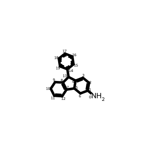 NC1=CC=C2C(C1)C1=C(CCC=C1)C2c1ccccc1